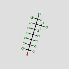 [O]C(Cl)(Cl)C(Cl)(Cl)C(Cl)(Cl)C(Cl)(Cl)C(Cl)(Cl)C(Cl)(C(Cl)(Cl)Cl)C(Cl)(Cl)Cl